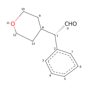 O=C[C@H](c1ccccc1)C1CCOCC1